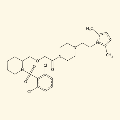 Cc1ccc(C)n1CCN1CCN(C(=O)COCC2CCCCN2S(=O)(=O)c2c(Cl)cccc2Cl)CC1